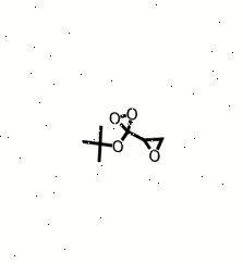 CC(C)(C)OC1(C2CO2)OO1